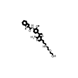 COc1cc(-c2csc3c(/C=C/CNCCOCCO)cnc(N)c23)ccc1NC(=O)c1cc2ccccc2n1C